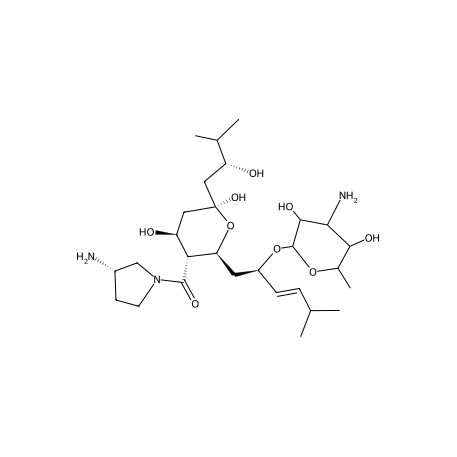 CC(C)/C=C/[C@@H](C[C@@H]1O[C@](O)(C[C@@H](O)C(C)C)C[C@H](O)[C@H]1C(=O)N1CC[C@H](N)C1)OC1OC(C)C(O)C(N)C1O